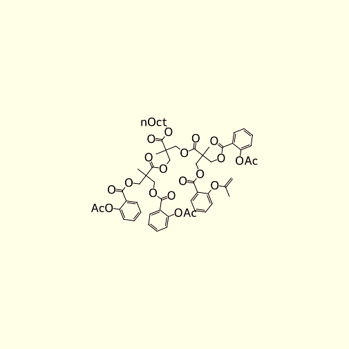 C=C(C)Oc1ccccc1C(=O)OCC(C)(COC(=O)c1ccccc1OC(C)=O)C(=O)OCC(C)(COC(=O)C(C)(COC(=O)c1ccccc1OC(C)=O)COC(=O)c1ccccc1OC(C)=O)C(=O)OCCCCCCCC